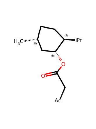 CC(=O)CC(=O)O[C@@H]1C[C@H](C)CC[C@H]1C(C)C